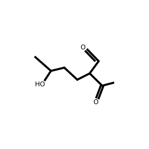 CC(=O)C(C=O)CCC(C)O